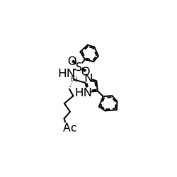 CC(=O)CCCCC[C@H](NS(=O)(=O)c1ccccc1)c1ncc(-c2ccccc2)[nH]1